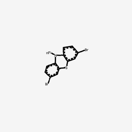 CCCN1c2ccc(Br)cc2Sc2cc(Br)ccc21